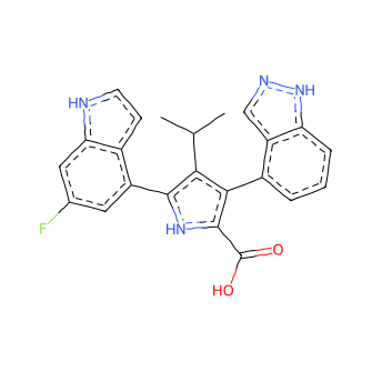 CC(C)c1c(-c2cc(F)cc3[nH]ccc23)[nH]c(C(=O)O)c1-c1cccc2[nH]ncc12